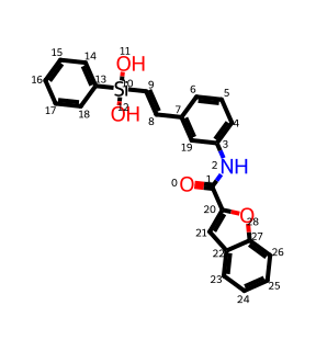 O=C(Nc1cccc(C=C[Si](O)(O)c2ccccc2)c1)c1cc2ccccc2o1